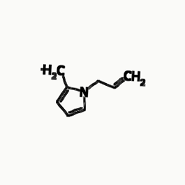 [CH2]c1cccn1CC=C